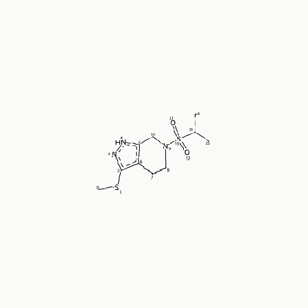 CSc1n[nH]c2c1CCN(S(=O)(=O)C(C)C)C2